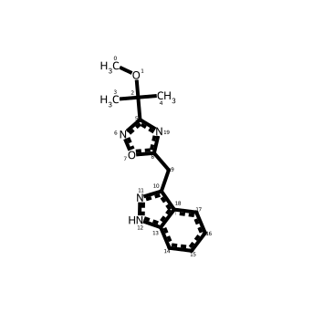 COC(C)(C)c1noc(Cc2n[nH]c3ccccc23)n1